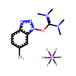 CN(C)C(On1nnc2ccc(C(F)(F)F)cc21)=[N+](C)C.F[P-](F)(F)(F)(F)F